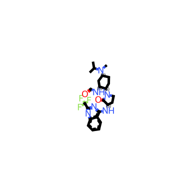 CC(C)N(C)[C@@H]1CC[C@H](N2CC[C@H](Nc3nc(C(F)(F)F)nc4ccccc34)C2=O)[C@H](NC=O)C1